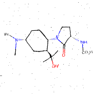 CC(C)N(C)[C@@H]1CC[C@H](N2CC[C@H](NC(=O)O)C2=O)[C@@H](C(C)(C)O)C1